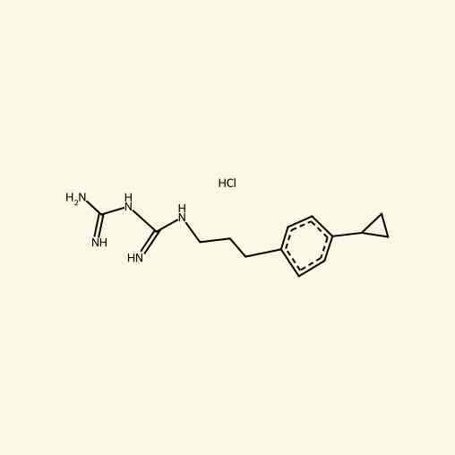 Cl.N=C(N)NC(=N)NCCCc1ccc(C2CC2)cc1